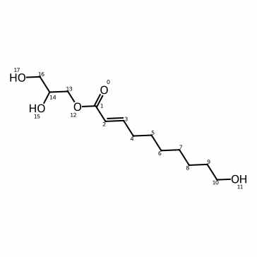 O=C(C=CCCCCCCCO)OCC(O)CO